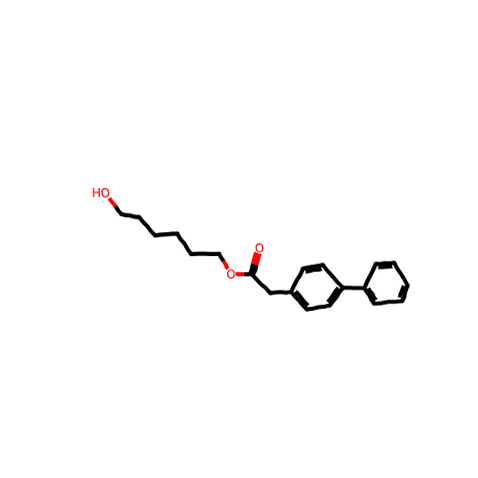 O=C(Cc1ccc(-c2ccccc2)cc1)OCCCCCCO